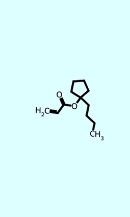 C=CC(=O)OC1(CCCC)CCCC1